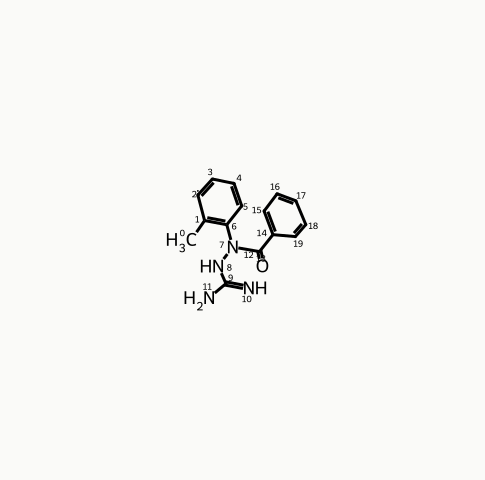 Cc1[c]cccc1N(NC(=N)N)C(=O)c1ccccc1